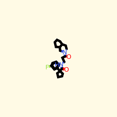 O=C(CCNC(=O)C1(c2cccc(F)c2)CCCC1)N1CCC2CCCCC2C1